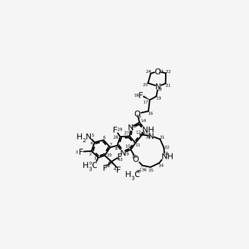 Cc1c(F)c(N)cc(-c2nc3c4c(nc(OC[C@@H](F)CN5CCOCC5)nc4c2F)NCCNCC[C@H](C)O3)c1C(F)(F)F